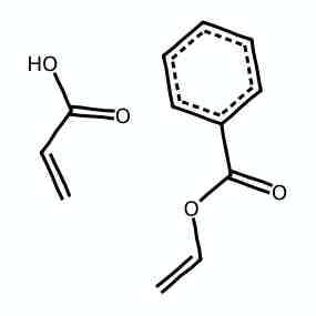 C=CC(=O)O.C=COC(=O)c1ccccc1